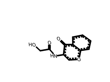 O=C(CO)Nc1coc2ccccc2c1=O